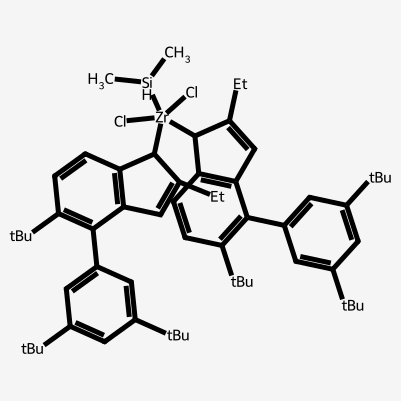 CCC1=Cc2c(ccc(C(C)(C)C)c2-c2cc(C(C)(C)C)cc(C(C)(C)C)c2)[CH]1[Zr]([Cl])([Cl])([CH]1C(CC)=Cc2c1ccc(C(C)(C)C)c2-c1cc(C(C)(C)C)cc(C(C)(C)C)c1)[SiH](C)C